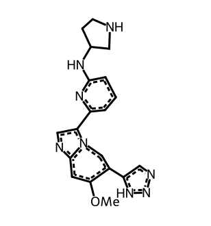 COc1cc2ncc(-c3cccc(NC4CCNC4)n3)n2cc1-c1cnn[nH]1